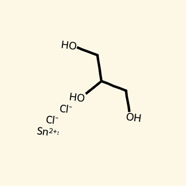 OCC(O)CO.[Cl-].[Cl-].[Sn+2]